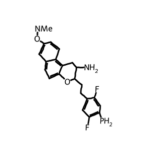 CNOc1ccc2c3c(ccc2c1)OC(CCc1cc(F)c(P)cc1F)C(N)C3